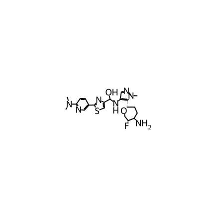 CN(C)c1ccc(-c2nc(C(O)Nc3cnn(C)c3[C@@H]3CC[C@@H](N)[C@H](F)CO3)cs2)cn1